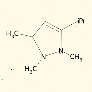 CC(C)C1=CC(C)N(C)N1C